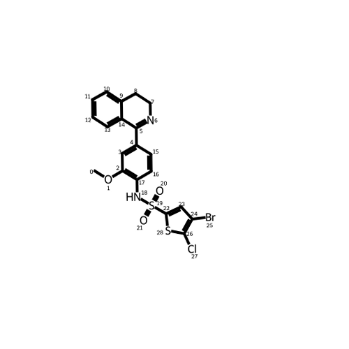 COc1cc(C2=NCCc3ccccc32)ccc1NS(=O)(=O)c1cc(Br)c(Cl)s1